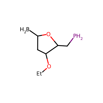 BC1CC(OCC)C(CP)O1